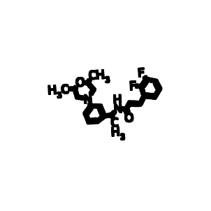 CC1CN(c2cccc(C(C)NC(=O)C=Cc3cccc(F)c3F)c2)CC(C)O1